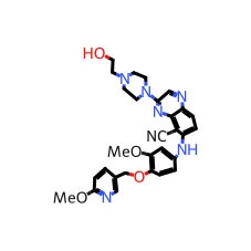 COc1ccc(COc2ccc(Nc3ccc4ncc(N5CCN(CCO)CC5)nc4c3C#N)cc2OC)cn1